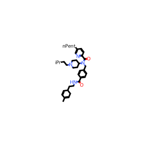 CCCCCc1ccc(C(=O)N(Cc2ccc(C(=O)NCCC3C=CC(C)=CC3)cc2)C2CCN(CCC(C)C)CC2)nc1